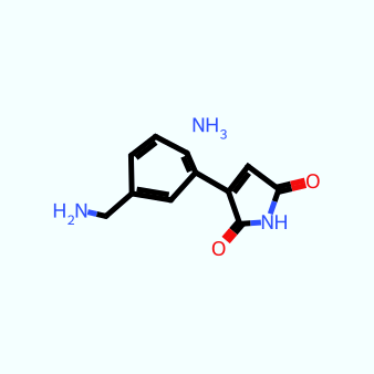 N.NCc1cccc(C2=CC(=O)NC2=O)c1